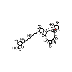 CC[C@H]1OC(=O)[C@H](C)[C@@H](O[C@H]2C[C@@](C)(OC)[C@@H](OCCCNCCCc3cnc4c(c3)c(=O)c(C(=O)O)cn4CC)[C@H](C)O2)[C@H](C)[C@@H](O[C@@H]2O[C@H](C)C[C@H](N(C)C)[C@H]2O)[C@](C)(OC)C[C@@H](C)C(=O)C(C)[C@H]2NC(=O)O[C@@]21C